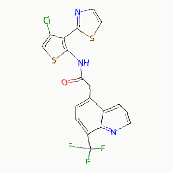 O=C(Cc1ccc(C(F)(F)F)c2ncccc12)Nc1scc(Cl)c1-c1nccs1